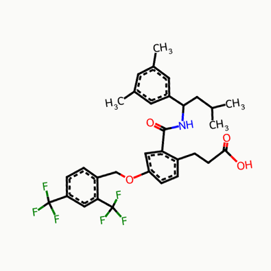 Cc1cc(C)cc(C(CC(C)C)NC(=O)c2cc(OCc3ccc(C(F)(F)F)cc3C(F)(F)F)ccc2CCC(=O)O)c1